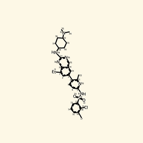 CCc1cc(-c2ccc(NS(=O)(=O)c3cccc(C)c3Cl)nc2C)cc2cnc(NC3CCC(N(C)C)CC3)nc12